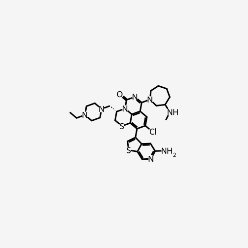 CCN1CCN(C[C@H]2CSc3c(-c4csc5cnc(N)cc45)c(Cl)cc4c(N5CCCCC(NC)C5)nc(=O)n2c34)CC1